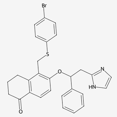 O=C1CCCc2c1ccc(OC(Cc1ncc[nH]1)c1ccccc1)c2CSc1ccc(Br)cc1